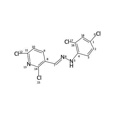 Clc1ccc(NN=Cc2ccc(Cl)nc2Cl)c(Cl)c1